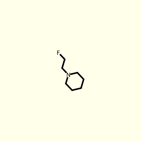 FCCN1CCCCC1